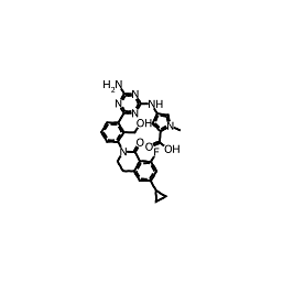 Cn1cc(Nc2nc(N)nc(-c3cccc(N4CCc5cc(C6CC6)cc(F)c5C4=O)c3CO)n2)cc1C(=O)O